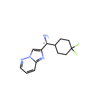 N[C@H](c1cn2ncccc2n1)C1CCC(F)(F)CC1